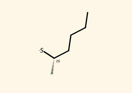 CCCC[C@H](C)[S]